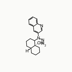 NN(c1cnc2ccccc2c1)C1CCC[C@H]2CCCC[C@]12O